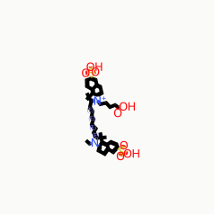 CCN1/C(=C/C=C/C=C/C=C/C2=[N+](CCCCC(=O)O)c3ccc4cc(S(=O)(=O)O)ccc4c3C2(C)C)C(C)(C)c2c1ccc1cc(S(=O)(=O)O)ccc21